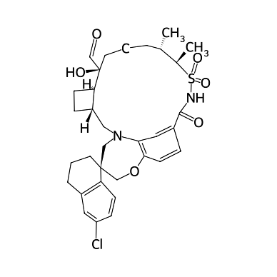 C[C@@H]1[C@@H](C)CCC[C@@](O)(C=O)[C@@H]2CC[C@H]2CN2C[C@@]3(CCCc4cc(Cl)ccc43)COc3ccc(cc32)C(=O)NS1(=O)=O